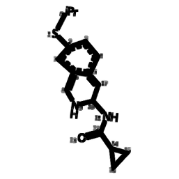 CC(C)Sc1ccc2c(c1)=CNC(NC(=O)C1CC1)C=2